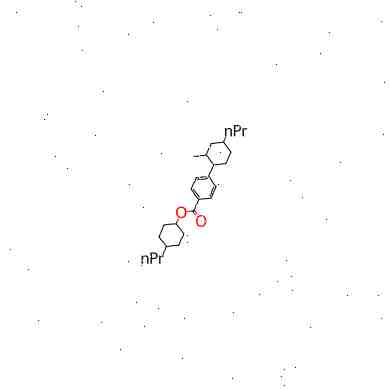 CCCC1CCC(OC(=O)c2ccc(C3CCC(CCC)CC3C)cc2)CC1